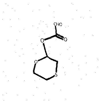 O=CC(=O)OC1CSCCO1